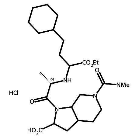 CCOC(=O)C(CCC1CCCCC1)N[C@@H](C)C(=O)N1C(C(=O)O)CC2CCN(C(=O)NC)CC21.Cl